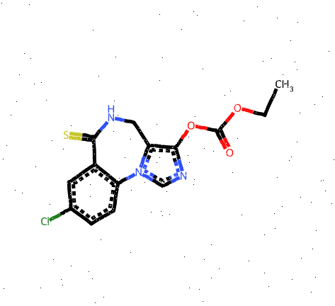 CCOC(=O)Oc1ncn2c1CNC(=S)c1cc(Cl)ccc1-2